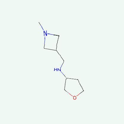 CN1CC(CNC2CCOC2)C1